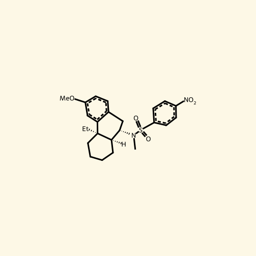 CC[C@@]12CCCC[C@@H]1[C@@H](N(C)S(=O)(=O)c1ccc([N+](=O)[O-])cc1)Cc1ccc(OC)cc12